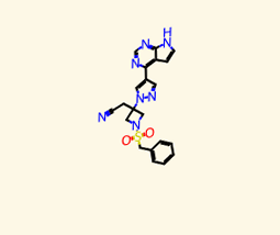 N#CCC1(n2cc(-c3ncnc4[nH]ccc34)cn2)CN(S(=O)(=O)Cc2ccccc2)C1